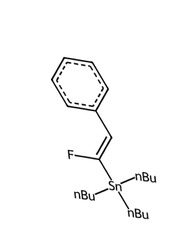 CCC[CH2][Sn]([CH2]CCC)([CH2]CCC)/[C](F)=C/c1ccccc1